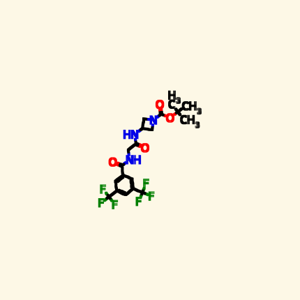 CC(C)(C)OC(=O)N1CC(NC(=O)CNC(=O)c2cc(C(F)(F)F)cc(C(F)(F)F)c2)C1